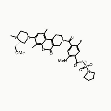 CNc1cc(C(=O)N2CCc3c(c(=O)oc4c(C)c(N5CCN(C)[C@@H](COC)C5)cc(C)c34)C2)c(F)cc1C(=O)NS(=O)(=O)N1CCCC1